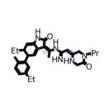 CCc1ccc(C)c(C2C=C3C(=CC2CC)NC(=O)/C3=C(/C)NC(=N)/C=C2/CN(C(C)C)C(=O)CN2)c1